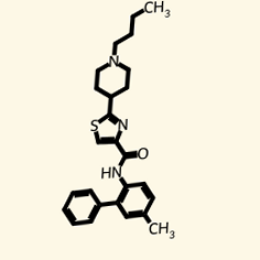 CCCCN1CCC(c2nc(C(=O)Nc3ccc(C)cc3-c3ccccc3)cs2)CC1